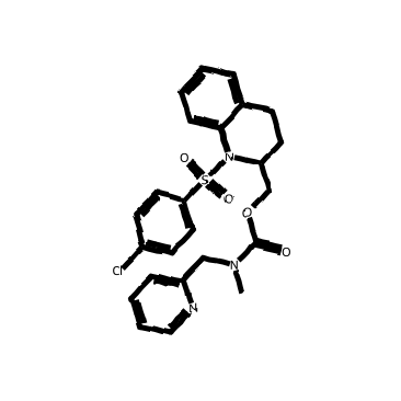 CN(Cc1ccccn1)C(=O)OCC1CCc2ccccc2N1S(=O)(=O)c1ccc(Cl)cc1